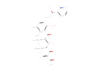 CCc1cc(CNC(=O)c2cccnc2)c(O)c2c1C[C@H]1C[C@H]3CC(O)=C(C(N)=O)C(=O)C3C(O)=C1C2=O